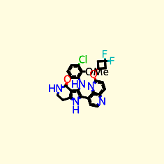 COc1c(Cl)cccc1Nc1c(-c2ccnc3ccc(OC4CC(F)(F)C4)nc23)[nH]c2c1C(=O)NCC2